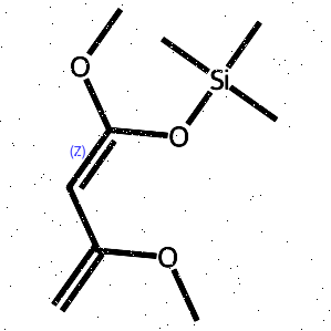 C=C(/C=C(/OC)O[Si](C)(C)C)OC